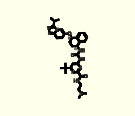 CC(C)c1nnc2ccc(O[C@@H]3CC[C@H](NC(=O)Nc4cc(C(C)(C)C)nc(C(=O)NCCN(C)C)n4)c4ccccc43)cn12